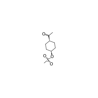 CC(=O)[C@H]1CC[C@@H](OS(C)(=O)=O)CC1